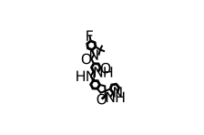 CC1(C)CN(C(=O)c2cc(Nc3ccc4c(c3)CC3(C4)C(=O)Nc4ncccc43)[nH]c(=O)c2)c2ccc(F)cc21